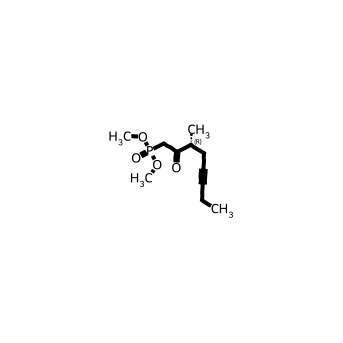 CCC#CC[C@@H](C)C(=O)CP(=O)(OC)OC